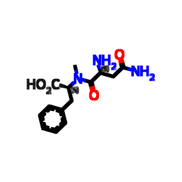 CN(C(=O)[C@@H](N)CC(N)=O)[C@@H](Cc1ccccc1)C(=O)O